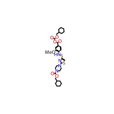 COc1cc(C(=O)OC(=O)OCC2CCCCC2)ccc1NSc1csc(N2CCN(C(=O)OCC3CCCCC3)CC2)n1